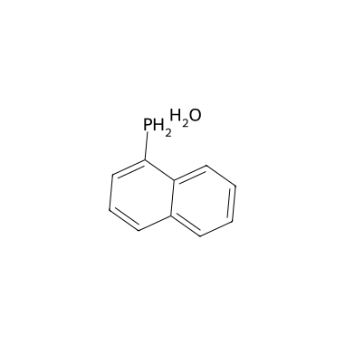 O.Pc1cccc2ccccc12